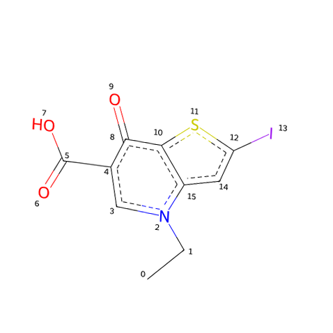 CCn1cc(C(=O)O)c(=O)c2sc(I)cc21